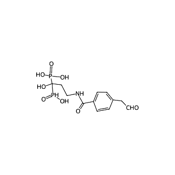 O=CCc1ccc(C(=O)NCCC(O)([PH](=O)O)P(=O)(O)O)cc1